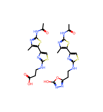 CC(=O)Nc1nc(C)c(-c2csc(NCCC(=O)O)n2)s1.CC(=O)Nc1nc(C)c(-c2csc(NCCc3nnc(O)o3)n2)s1